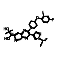 CC(C)(O)[C@H](O)c1cc2nc(N3CCC(Oc4ccc(F)cc4F)CC3)c(-c3cnn(C(F)F)c3)nc2cn1